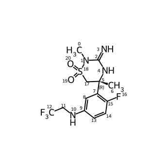 CN1C(=N)N[C@](C)(c2cc(NCC(F)(F)F)ccc2F)CS1(=O)=O